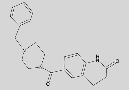 O=C1CCc2cc(C(=O)N3CCN(Cc4ccccc4)CC3)ccc2N1